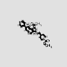 COC(=O)N1CCC(CNc2nn(C(C)C)c3c2cnn2cc(-c4ccncc4)cc32)CC1